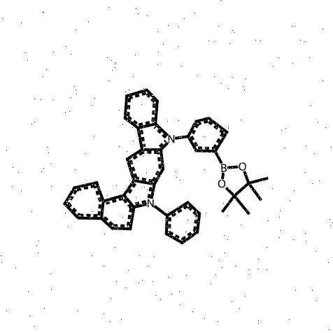 CC1(C)OB(c2cccc(-n3c4ccccc4c4cc5c6c7ccccc7ccc6n(-c6ccccc6)c5cc43)c2)OC1(C)C